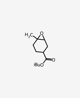 CC(C)COC(=O)C1CCC2(C)OC2C1